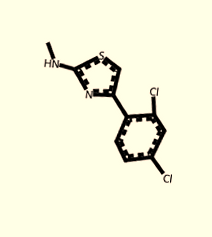 CNc1nc(-c2ccc(Cl)cc2Cl)cs1